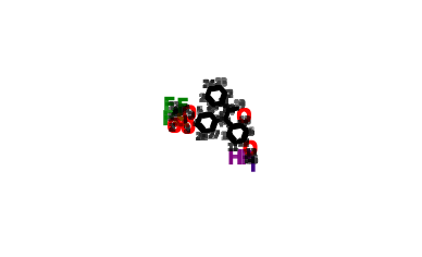 O=S(=O)(Oc1ccc([C@@H]2c3ccc(OPI)cc3OC[C@@H]2c2ccccc2)cc1)C(F)(F)F